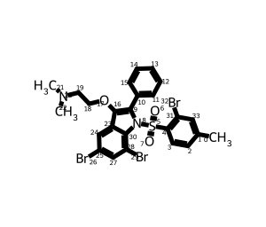 Cc1ccc(S(=O)(=O)n2c(-c3ccccc3)c(OCCN(C)C)c3cc(Br)cc(Br)c32)c(Br)c1